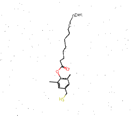 CCCCCCCCCCCCCCCCCCCC(=O)Oc1c(C)cc(CS)cc1C